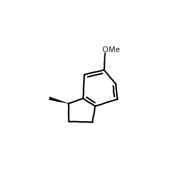 COc1ccc2c(c1)[C@H](C)CC2